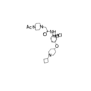 CC(=O)N1CCN(CC(=O)Nc2ccc(OC3CCN(C4CCC4)CC3)cc2)CC1.Cl.Cl